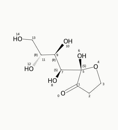 O=C1CCO[C@@]1(O)[C@@H](O)[C@H](O)[C@H](O)CO